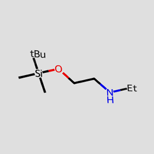 CCNCCO[Si](C)(C)C(C)(C)C